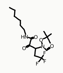 CCCCCCNC(=O)C(=O)C(CC(F)(F)F)N(C=O)OC(C)(C)C